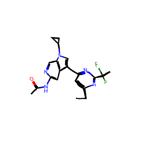 CCc1cc(-c2cn(C3CC3)c3cnc(NC(C)=O)cc23)nc(C(C)(F)F)n1